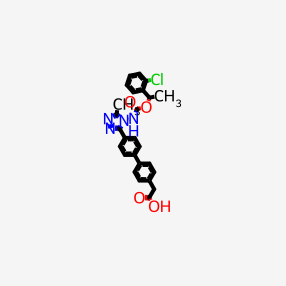 Cc1nnc(-c2ccc(-c3ccc(CC(=O)O)cc3)cc2)n1NC(=O)OC(C)c1ccccc1Cl